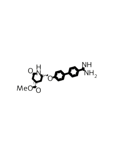 COC(=O)[C@@H]1CC(=O)N[C@H](COc2ccc(-c3ccc(C(=N)N)cc3)cc2)C1